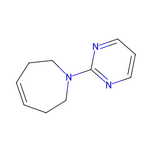 C1=CCCN(c2ncccn2)CC1